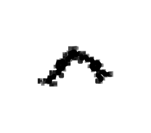 Cl.N=C(N)CCNC(=O)c1ccc2[nH]c(-c3ccc(NC(=O)CCCc4ccc(N(CCCl)CCCl)cc4)[nH]3)nc2c1